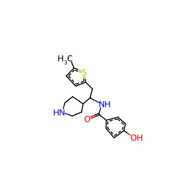 Cc1ccc(CC(NC(=O)c2ccc(O)cc2)C2CCNCC2)s1